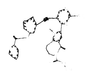 Cn1c(-c2nc(N)ncc2C#Cc2cccc(OC(=O)c3cccs3)c2)cc2c1CCN(C(=O)OC(C)(C)C)C2=O